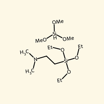 CCO[Si](CCN(C)C)(OCC)OCC.CO[SiH](OC)OC